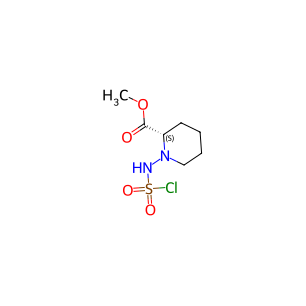 COC(=O)[C@@H]1CCCCN1NS(=O)(=O)Cl